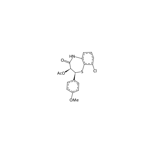 COc1ccc([C@@H]2Sc3c(Cl)cccc3NC(=O)[C@@H]2OC(C)=O)cc1